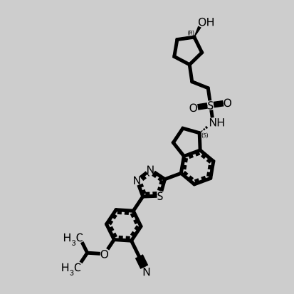 CC(C)Oc1ccc(-c2nnc(-c3cccc4c3CC[C@@H]4NS(=O)(=O)CCC3CC[C@@H](O)C3)s2)cc1C#N